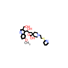 COc1ccc2ncc(CO)c([C@H](O)CCC3(C(=O)O)CCN(CCSc4ccccn4)CC3)c2c1